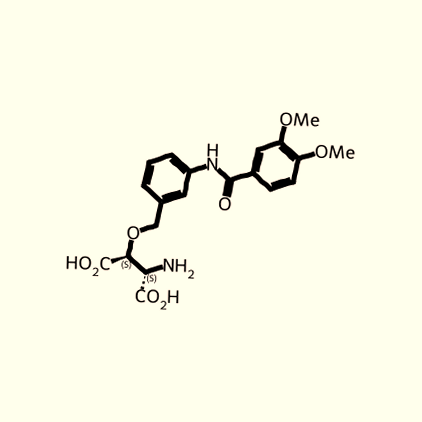 COc1ccc(C(=O)Nc2cccc(CO[C@H](C(=O)O)[C@H](N)C(=O)O)c2)cc1OC